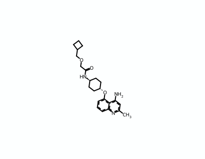 Cc1cc(N)c2c(O[C@H]3CC[C@H](NC(=O)COCC4CCC4)CC3)cccc2n1